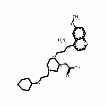 COc1ccc2nccc([C@@H](N)CC[C@@H]3CCN(CCSC4CCCCC4)C[C@@H]3CC(=O)O)c2c1